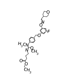 CCOC(=O)CCC/N=C(\OC)N(C)c1ccc(COc2cc(F)cc(ON=CC3CCOCC3)c2)cc1